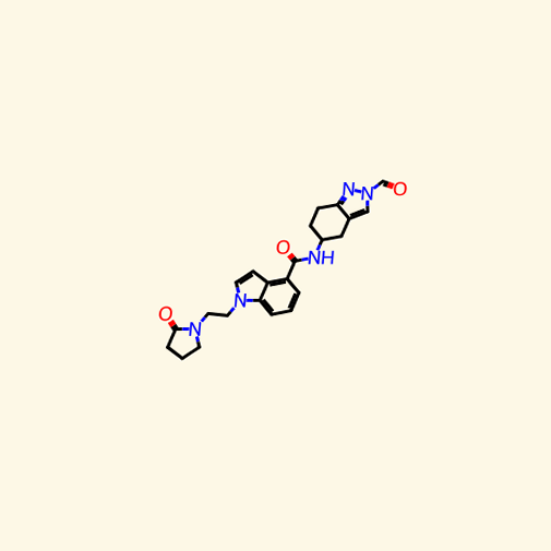 O=Cn1cc2c(n1)CCC(NC(=O)c1cccc3c1ccn3CCN1CCCC1=O)C2